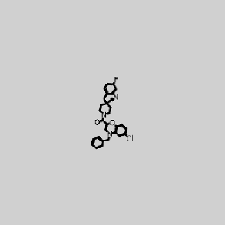 N#CC1(Cc2ccc(F)cc2)CCN(C(=O)C2CN(Cc3ccccc3)c3cc(Cl)ccc3O2)CC1